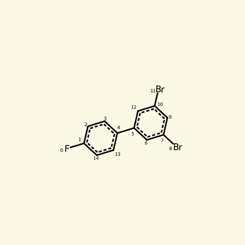 Fc1ccc(-c2cc(Br)cc(Br)c2)cc1